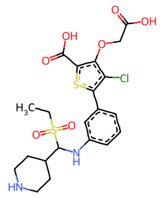 CCS(=O)(=O)C(Nc1cccc(-c2sc(C(=O)O)c(OCC(=O)O)c2Cl)c1)C1CCNCC1